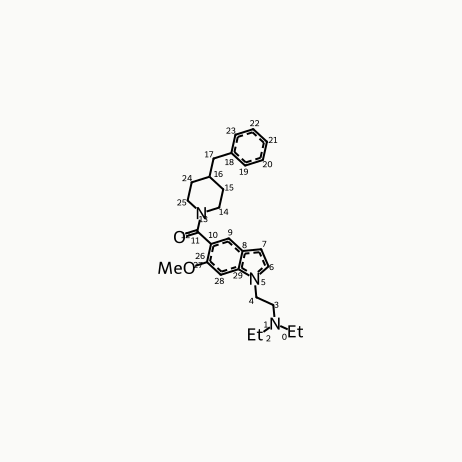 CCN(CC)CCn1ccc2cc(C(=O)N3CCC(Cc4ccccc4)CC3)c(OC)cc21